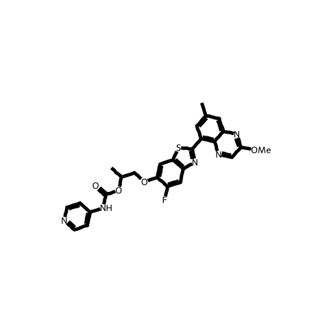 COc1cnc2c(-c3nc4cc(F)c(OCC(C)OC(=O)Nc5ccncc5)cc4s3)cc(C)cc2n1